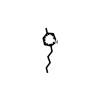 CCCCCc1ccc(C)cn1